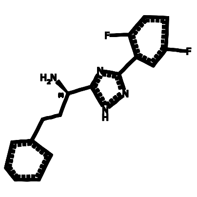 N[C@H](CCc1ccccc1)c1nc(-c2cc(F)ccc2F)n[nH]1